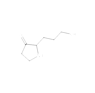 O=C1CCNC1CCCO